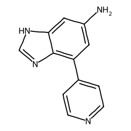 Nc1cc(-c2ccncc2)c2nc[nH]c2c1